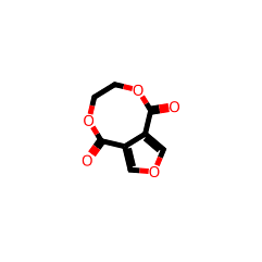 O=C1OCCOC(=O)c2cocc21